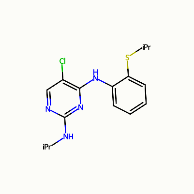 CC(C)Nc1ncc(Cl)c(Nc2ccccc2SC(C)C)n1